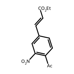 CCOC(=O)/C=C/c1ccc(C(C)=O)c([N+](=O)[O-])c1